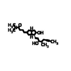 CC#CC[C@@H](C)[C@H](O)/C=C/[C@@H]1[C@H]2C/C(=C/CCC(=O)N(C)C)C[C@H]2C[C@H]1O